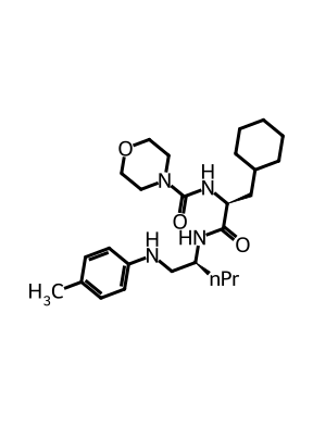 CCC[C@@H](CNc1ccc(C)cc1)NC(=O)[C@H](CC1CCCCC1)NC(=O)N1CCOCC1